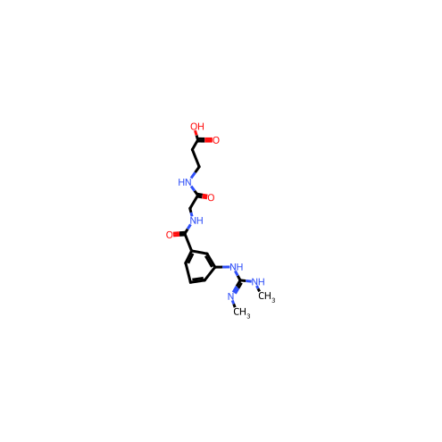 CN=C(NC)Nc1cccc(C(=O)NCC(=O)NCCC(=O)O)c1